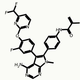 C=C(C)C(=O)Nc1ccc(-c2c(-c3ccc(Oc4nccc(C(F)F)n4)c(F)c3)c3c(N)ncnc3n2C)cc1